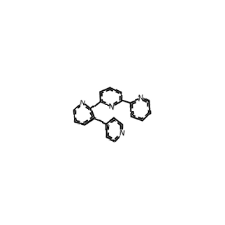 c1ccc(-c2cccc(-c3ncccc3-c3ccncc3)n2)nc1